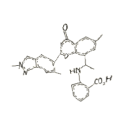 Cc1cc(C(C)Nc2ccccc2C(=O)O)c2oc(-c3cc4cn(C)nc4cc3C)cc(=O)c2c1